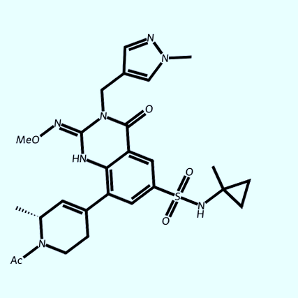 CO/N=c1\[nH]c2c(C3=C[C@@H](C)N(C(C)=O)CC3)cc(S(=O)(=O)NC3(C)CC3)cc2c(=O)n1Cc1cnn(C)c1